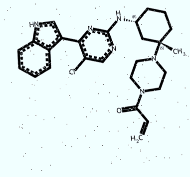 C=CC(=O)N1CCN([C@@]2(C)CCC[C@@H](Nc3ncc(Cl)c(-c4c[nH]c5ccccc45)n3)C2)CC1